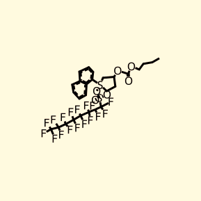 CCCCOC(=O)OC1CCS(OS(=O)(=O)C(F)(F)C(F)(F)C(F)(F)C(F)(F)C(F)(F)C(F)(F)C(F)(F)C(F)(F)F)(c2cccc3ccccc23)C1